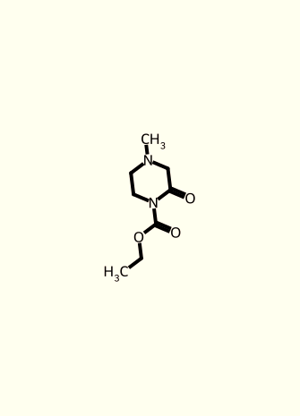 CCOC(=O)N1CCN(C)CC1=O